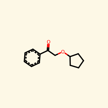 O=C(COC1CCCC1)c1ccccc1